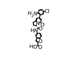 Nc1ccc(Cl)cc1-c1cc2n(c(=O)c1)[C@H](C(=O)Nc1ccc3oc(C(=O)O)cc3c1)CC2